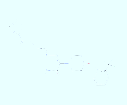 CNC(=O)/C(=N\NCCCC(=O)c1cccs1)N1CCC(Oc2ccccc2C(F)(F)F)CC1